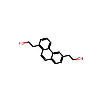 OCCc1ccc2ccc3c(CCO)cccc3c2c1